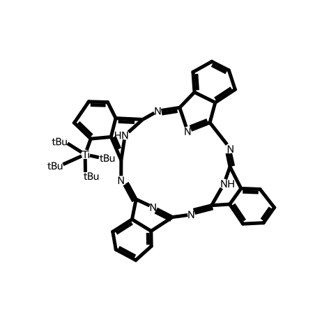 C[C](C)(C)[Ti]([c]1cccc2c3nc4nc(nc5[nH]c(nc6nc(nc([nH]3)c12)-c1ccccc1-6)c1ccccc51)-c1ccccc1-4)([C](C)(C)C)([C](C)(C)C)[C](C)(C)C